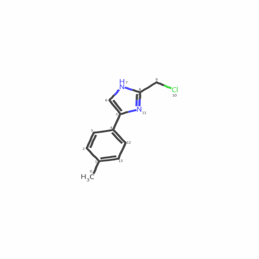 Cc1ccc(-c2c[nH]c(CCl)n2)cc1